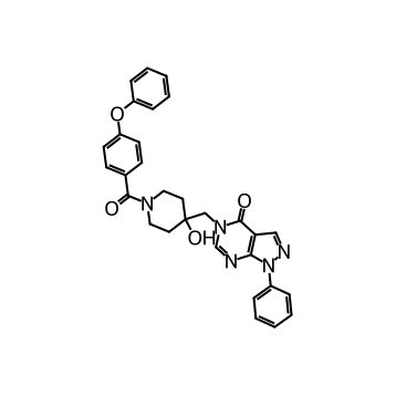 O=C(c1ccc(Oc2ccccc2)cc1)N1CCC(O)(Cn2cnc3c(cnn3-c3ccccc3)c2=O)CC1